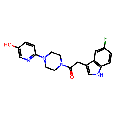 O=C(Cc1c[nH]c2ccc(F)cc12)N1CCN(c2ccc(O)cn2)CC1